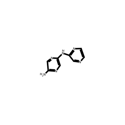 Nc1cnc(Nc2cnccn2)cn1